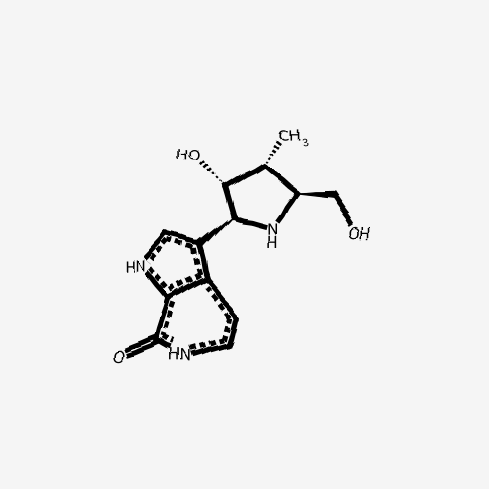 C[C@H]1[C@@H](O)[C@H](c2c[nH]c3c(=O)[nH]ccc23)N[C@@H]1CO